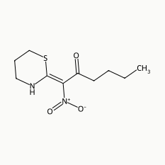 CCCCC(=O)/C(=C1/NCCCS1)[N+](=O)[O-]